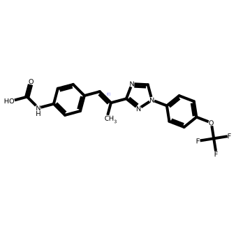 C/C(=C\c1ccc(NC(=O)O)cc1)c1ncn(-c2ccc(OC(F)(F)F)cc2)n1